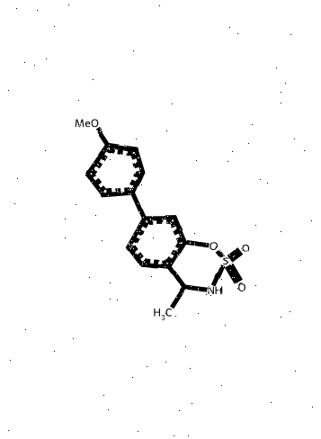 COc1ccc(-c2ccc3c(c2)OS(=O)(=O)NC3C)cc1